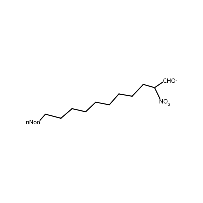 CCCCCCCCCCCCCCCCCCC([C]=O)[N+](=O)[O-]